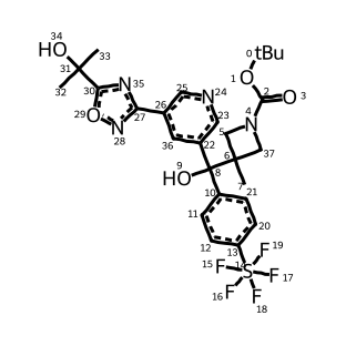 CC(C)(C)OC(=O)N1CC(C)(C(O)(c2ccc(S(F)(F)(F)(F)F)cc2)c2cncc(-c3noc(C(C)(C)O)n3)c2)C1